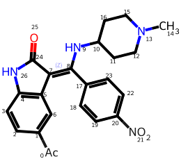 CC(=O)c1ccc2c(c1)/C(=C(/NC1CCN(C)CC1)c1ccc([N+](=O)[O-])cc1)C(=O)N2